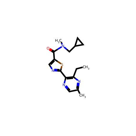 CCc1nc(C)cnc1-c1ncc(C(=O)N(C)CC2CC2)s1